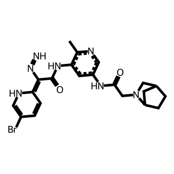 Cc1ncc(NC(=O)CN2CC3CCC2C3)cc1NC(=O)/C(N=N)=C1\C=CC(Br)=CN1